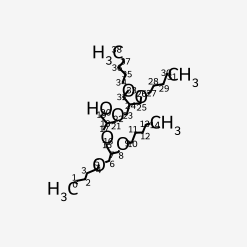 CCCCCOCC(COCCCCC)COCC(CO)COCC(COCCCCC)COCCCCC